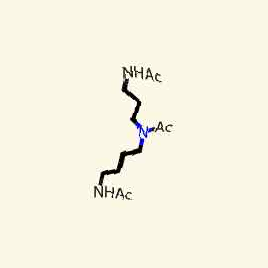 CC(=O)NCCCCN(CCCNC(C)=O)C(C)=O